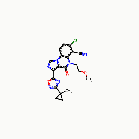 COCCn1c(=O)c2c(-c3nc(C4(C)CC4)no3)ncn2c2ccc(Cl)c(C#N)c21